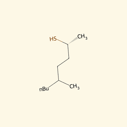 CCCCC(C)CC[C@@H](C)S